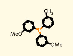 COc1cccc(P(c2cccc(C)c2)c2cccc(OC)c2)c1